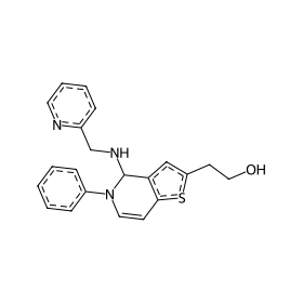 OCCc1cc2c(s1)C=CN(c1ccccc1)C2NCc1ccccn1